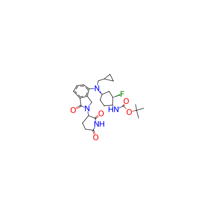 CC(C)(C)OC(=O)N[C@@H]1CC[C@@H](N(CC2CC2)c2cccc3c2CN(C2CCC(=O)NC2=O)C3=O)C[C@H]1F